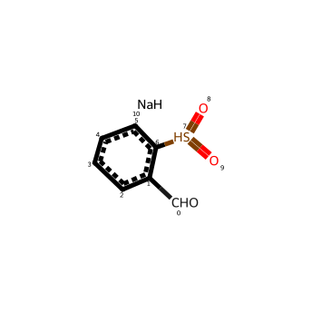 O=Cc1ccccc1[SH](=O)=O.[NaH]